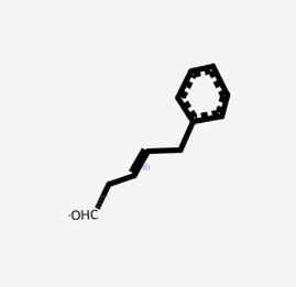 O=[C]C/C=C/Cc1ccccc1